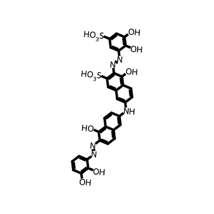 O=S(=O)(O)c1cc(O)c(O)c(N=Nc2c(S(=O)(=O)O)cc3cc(Nc4ccc5c(O)c(N=Nc6cccc(O)c6O)ccc5c4)ccc3c2O)c1